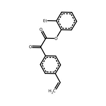 C=Cc1ccc(C(=O)C(=O)Oc2ccccc2CC)cc1